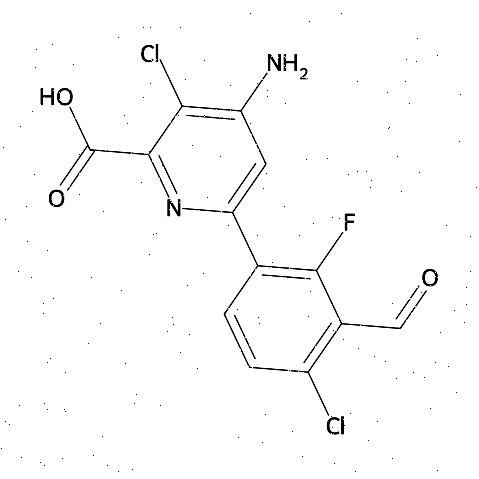 Nc1cc(-c2ccc(Cl)c(C=O)c2F)nc(C(=O)O)c1Cl